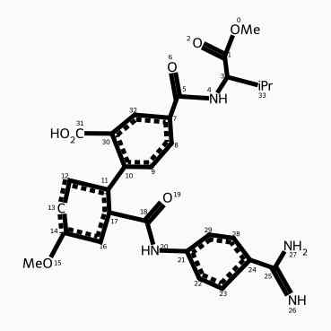 COC(=O)C(NC(=O)c1ccc(-c2ccc(OC)cc2C(=O)Nc2ccc(C(=N)N)cc2)c(C(=O)O)c1)C(C)C